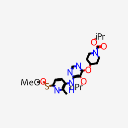 CCCOc1c(Nc2ccc(SOOC)nc2C)ncnc1OC1CCN(C(=O)OC(C)C)CC1